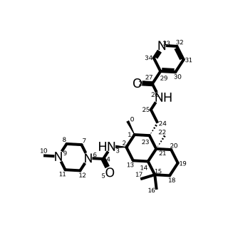 C[C@@H]1[C@H](NC(=O)N2CCN(C)CC2)CC2C(C)(C)CCC[C@]2(C)[C@H]1CCNC(=O)c1cccnc1